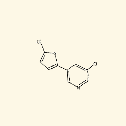 Clc1cncc(-c2ccc(Cl)s2)c1